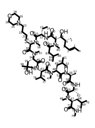 C/C=C/C[C@@H](C)C(O)[C@@H](C(=O)N[C@@H](CC)C(=O)N(C)[C@H](SCCCN1CCOCC1)C(=O)N(C)[C@@H](CC(C)(C)O)C(=O)N[C@H](C(=O)N(C)[C@@H](CC(C)C)C(=O)N[C@@H](C)C(=O)N[C@H](C)C(=O)N(C)[C@@H](CC(C)C)C(=O)NC)C(C)C)N(C)C(=O)CC(C)C